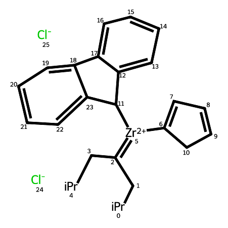 CC(C)C[C](CC(C)C)=[Zr+2]([C]1=CC=CC1)[CH]1c2ccccc2-c2ccccc21.[Cl-].[Cl-]